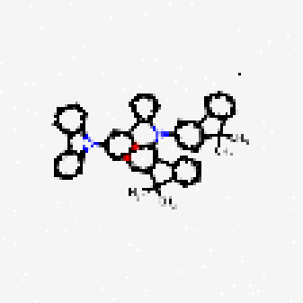 CC1(C)c2ccccc2-c2cc(N(c3ccccc3-c3cccc(-n4c5ccccc5c5ccccc54)c3)c3cccc4c3-c3ccccc3C4(C)C)ccc21